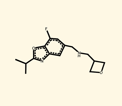 CC(C)c1nc2cc(CNCC3COC3)cc(F)c2o1